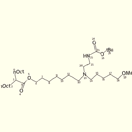 CCCCCCCCC(CCCCCCCC)C(=O)OCCCCCCCN(CCCCCOC)CCNC(=O)OC(C)(C)C